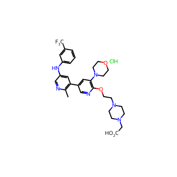 Cc1ncc(Nc2cccc(C(F)(F)F)c2)cc1-c1cnc(OCCN2CCN(CC(=O)O)CC2)c(N2CCOCC2)c1.Cl